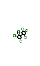 Clc1cc(Cl)c(Cl)c(-c2c(Cl)cc(Cl)c(Cl)c2Cl)c1